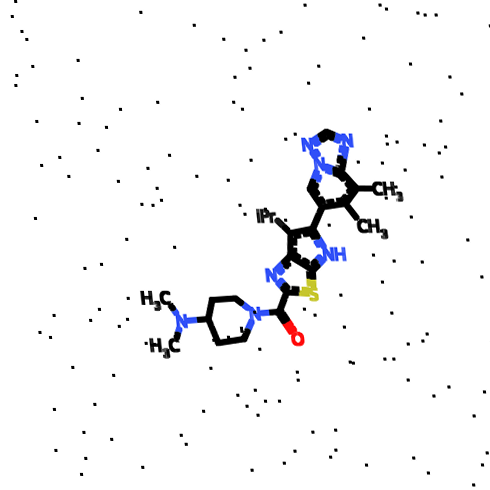 Cc1c(-c2[nH]c3sc(C(=O)N4CCC(N(C)C)CC4)nc3c2C(C)C)cn2ncnc2c1C